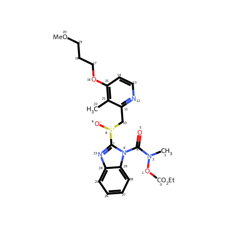 CCOC(=O)ON(C)C(=O)n1c([S+]([O-])Cc2nccc(OCCCOC)c2C)nc2ccccc21